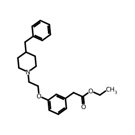 CCOC(=O)Cc1cccc(OCCN2CCC(Cc3ccccc3)CC2)c1